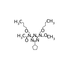 CCCCOCN(COC)c1nc(C2CCCC2)nc(N(COCCCC)C(C)=O)n1